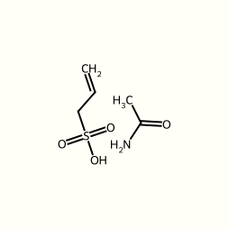 C=CCS(=O)(=O)O.CC(N)=O